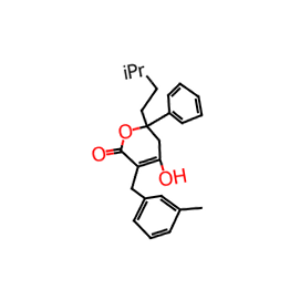 Cc1cccc(CC2=C(O)CC(CCC(C)C)(c3ccccc3)OC2=O)c1